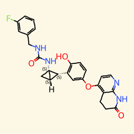 O=C1CCc2c(Oc3ccc(O)c([C@@H]4[C@@H]5C[C@@]45NC(=O)NCc4cccc(F)c4)c3)ccnc2N1